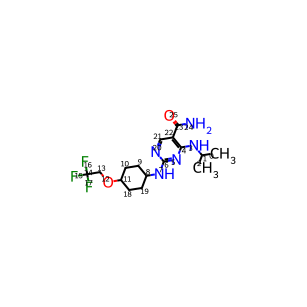 CC(C)Nc1nc(NC2CCC(OCC(F)(F)F)CC2)ncc1C(N)=O